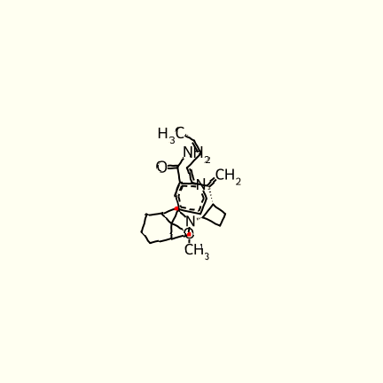 C=C(/C=C\C=C/C)[C@@H]1CC[C@@H]1N1CC2CCCC(C1)C2(OC)c1ccnc(C(N)=O)c1